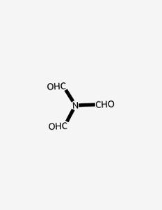 O=CN(C=O)C=O